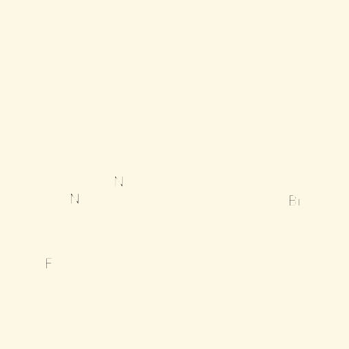 CC(C)Cn1nc(F)cc1-c1ccc(Br)cc1